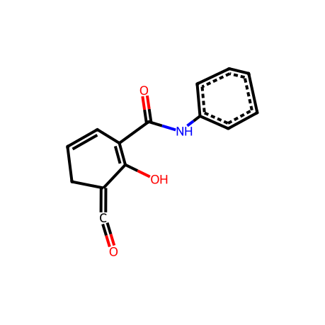 O=C=C1CC=CC(C(=O)Nc2ccccc2)=C1O